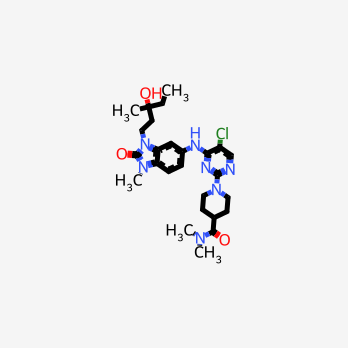 CCC(C)(O)CCn1c(=O)n(C)c2ccc(Nc3nc(N4CCC(C(=O)N(C)C)CC4)ncc3Cl)cc21